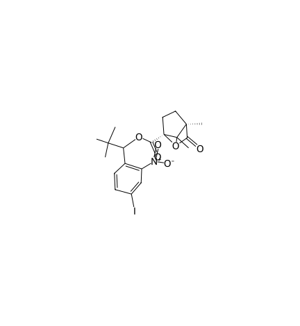 CC(C)(C)C(OC(=O)[C@@]12CC[C@@](C)(C(=O)O1)C2(C)C)c1ccc(I)cc1[N+](=O)[O-]